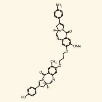 COc1cc2c(cc1OCCCOc1cc3c(cc1C)C(=O)N1C=C(c4ccc(O)cc4)C[C@H]1C=N3)N=C[C@@H]1CC(c3ccc(N)cc3)=CN1C2=O